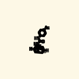 CC(=O)N1CCC(NC(=O)NC23CC4C[C@@H](C2)C(O)[C@@H](C4)C3)CC1